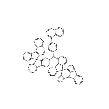 c1ccc2c(c1)-c1ccc(N(c3ccc(-c4cccc5ccccc45)cc3)c3cccc4c3-c3ccccc3C43c4ccccc4-n4c5ccccc5c5cccc3c54)cc1C21c2ccccc2-c2c1ccc1ccccc21